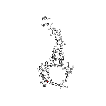 C=C1CC2CC[C@@]34OC5[C@@H]6O[C@@](O)(C(O3)C6OC3CCC(CC(=O)OC6[C@H](CC7O[C@@H](CCC1O2)C[C@@H](C)C7=C)O[C@H]1C[C@H]2O[C@@]7(CC8O[C@]9(C[C@H](C)C%10OC(CC[C@@H](O)CO)CC%10O9)C[C@H](C)C8O7)C[C@H]2O[C@H]1[C@@H]6C)O[C@@H]35)C4O